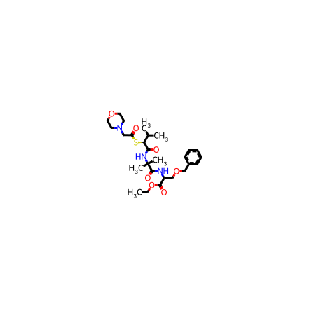 CCOC(=O)C(COCc1ccccc1)NC(=O)C(C)(C)NC(=O)[C@@H](SC(=O)CN1CCOCC1)C(C)C